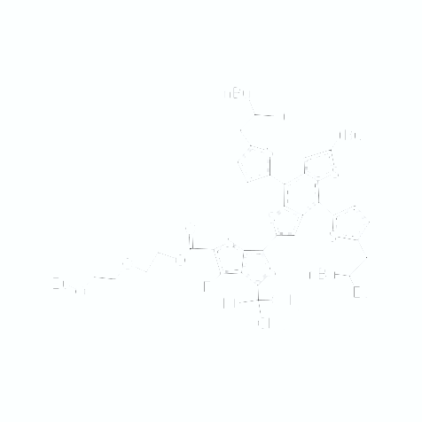 CCCCC(CC)Cc1ccc(-c2c3cc(C(C)(C)C)sc3c(-c3ccc(CC(CC)CCCC)s3)c3cc(-c4sc(C(C)(C)CC)c5c(F)c(C(=O)OCCOCCOCC)sc45)sc23)s1